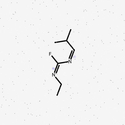 CC/N=C(F)\N=C/C(C)C